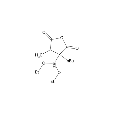 CCCCC1([SiH](OCC)OCC)C(=O)OC(=O)C1C